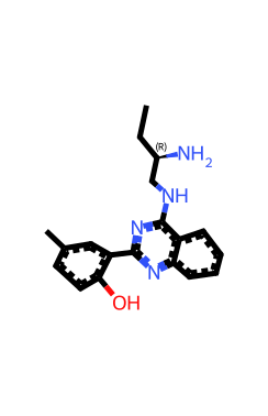 CC[C@@H](N)CNc1nc(-c2cc(C)ccc2O)nc2ccccc12